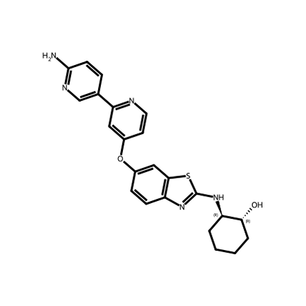 Nc1ccc(-c2cc(Oc3ccc4nc(N[C@@H]5CCCC[C@H]5O)sc4c3)ccn2)cn1